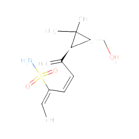 C=C(/C=C\C(=C/C)S(N)(=O)=O)[C@@H]1[C@@H](CO)C1(C)C